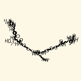 [N-]=[N+]=NCCCC[C@@H](NC(=O)COCCOCCOCCNC(=O)CC[C@@H](NC(=O)c1ccc(NCc2cnc3nc(N)[nH]c(=O)c3n2)cc1)C(=O)O)C(=O)NCCCOCCOCCOCCCNC(=O)CCCC[C@@H]1SC[C@H]2NC(=O)N[C@@H]12